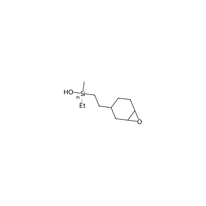 CC[Si@@](C)(O)CCC1CCC2OC2C1